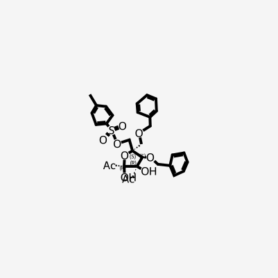 CC(=O)[C@]1(O)O[C@@](COCc2ccccc2)(COS(=O)(=O)c2ccc(C)cc2)[C@@H](OCc2ccccc2)[C@]1(O)C(C)=O